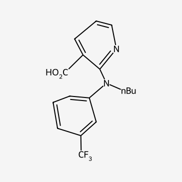 CCCCN(c1cccc(C(F)(F)F)c1)c1ncccc1C(=O)O